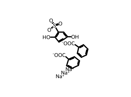 O=C([O-])c1ccccc1.O=C([O-])c1ccccc1.O=S(=O)([O-])c1cc(O)ccc1O.[Na+].[Na+].[Na+]